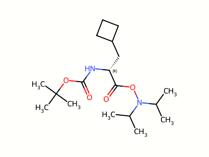 CC(C)N(OC(=O)[C@@H](CC1CCC1)NC(=O)OC(C)(C)C)C(C)C